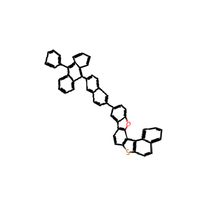 c1ccc(-c2c3ccccc3c(-c3ccc4cc(-c5ccc6oc7c(ccc8sc9ccc%10ccccc%10c9c87)c6c5)ccc4c3)c3ccccc23)cc1